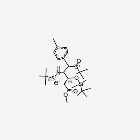 COC(=O)C[C@H](O[Si](C)(C)C(C)(C)C)C(N[S@@+]([O-])C(C)(C)C)C(c1ccc(C)cc1)[S@@+]([O-])C(C)(C)C